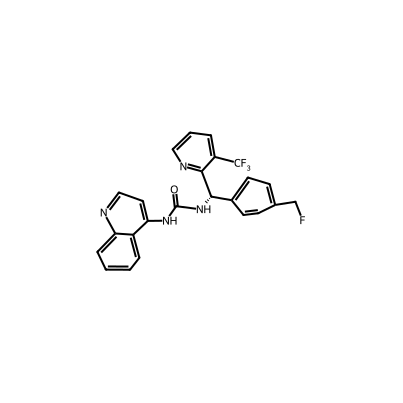 O=C(Nc1ccnc2ccccc12)N[C@@H](c1ccc(CF)cc1)c1ncccc1C(F)(F)F